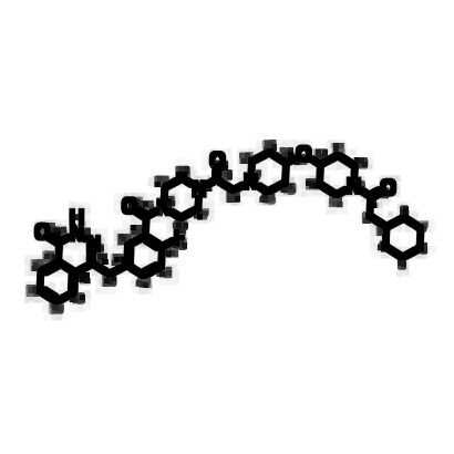 O=C(CC1CCCCC1)N1CCC(OC2CCN(CC(=O)N3CCN(C(=O)c4cc(Cc5n[nH]c(=O)c6ccccc56)ccc4F)CC3)CC2)CC1